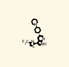 FC(F)(F)c1csc(-c2c[nH]c3ncc([C@H]4CC[C@H](N5CCCCC5)CC4)cc23)n1